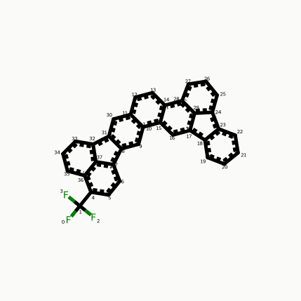 FC(F)(F)c1ccc2c3cc4c(ccc5c4cc4c6ccccc6c6cccc5c64)cc3c3cccc1c32